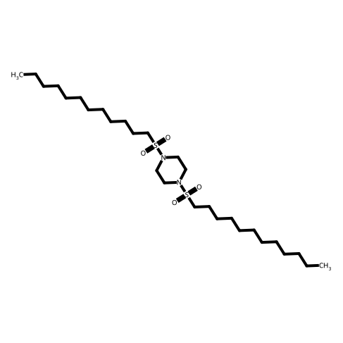 CCCCCCCCCCCCS(=O)(=O)N1CCN(S(=O)(=O)CCCCCCCCCCCC)CC1